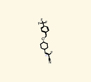 N#C/C(F)=C/[C@H]1CC[C@H](OCc2ccc(C(F)(F)F)cc2)CC1